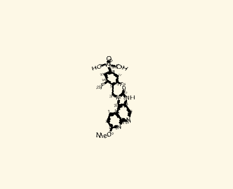 COc1ccc2c(ncc3[nH]c(=O)n(Cc4c(F)cc(P(=O)(O)O)cc4F)c32)n1